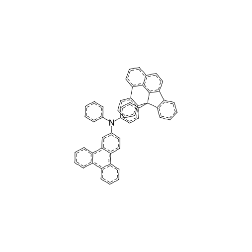 c1ccc(N(c2ccc(C34c5ccccc5-c5ccc6cccc(c6c53)-c3ccccc34)cc2)c2ccc3c4ccccc4c4ccccc4c3c2)cc1